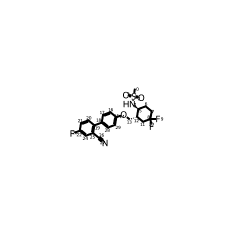 CS(=O)(=O)N[C@H]1CCC(F)(F)C[C@@H]1COc1ccc(-c2ccc(F)cc2C#N)cc1